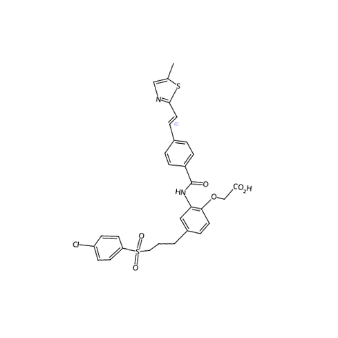 Cc1cnc(/C=C/c2ccc(C(=O)Nc3cc(CCCS(=O)(=O)c4ccc(Cl)cc4)ccc3OCC(=O)O)cc2)s1